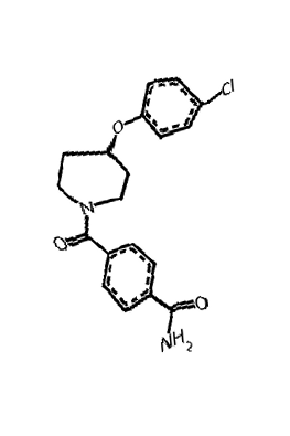 NC(=O)c1ccc(C(=O)N2CCC(Oc3ccc(Cl)cc3)CC2)cc1